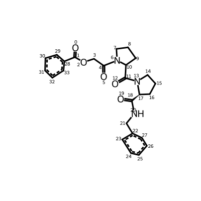 O=C(OCC(=O)N1CCCC1C(=O)N1CCC[C@H]1C(=O)NCc1ccccc1)c1ccccc1